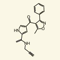 C#CCNC(=C)c1cc(C(=O)c2c(-c3ccccc3)noc2C)c[nH]1